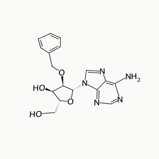 Nc1ncnc2c1ncn2[C@@H]1O[C@H](CO)[C@@H](O)[C@H]1OCc1ccccc1